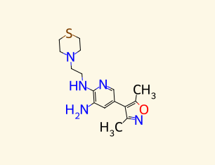 Cc1noc(C)c1-c1cnc(NCCN2CCSCC2)c(N)c1